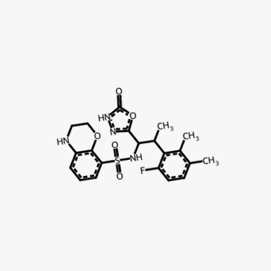 Cc1ccc(F)c(C(C)C(NS(=O)(=O)c2cccc3c2OCCN3)c2n[nH]c(=O)o2)c1C